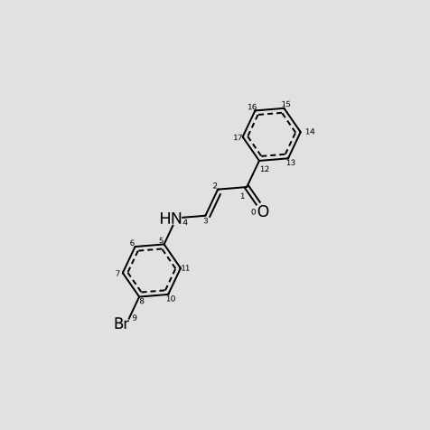 O=C(C=CNc1ccc(Br)cc1)c1ccccc1